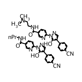 CCCNC(=O)c1ccc(-n2ncc(-c3ccc(C#N)cc3)c2O)nc1.CN(C)CCNC(=O)c1ccc(-n2ncc(-c3ccc(C#N)cc3)c2O)nc1